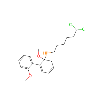 COc1ccccc1C1=CC=CCC1(OC)PCCCCCC(Cl)Cl